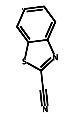 N#Cc1nc2cc[c]cc2s1